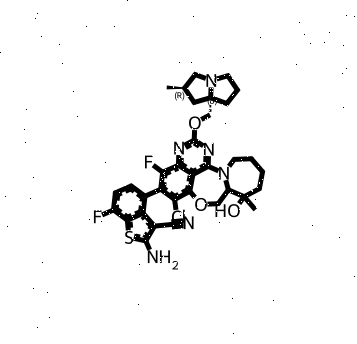 C[C@H]1CN2CCC[C@@]2(COc2nc3c4c(c(Cl)c(-c5ccc(F)c6sc(N)c(C#N)c56)c(F)c4n2)OCC2N3CCCCC2(C)O)C1